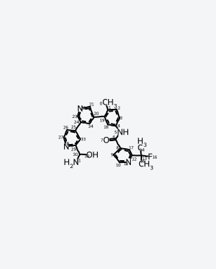 Cc1ccc(NC(=O)c2ccnc(C(C)(C)F)c2)cc1-c1cncc(-c2ccnc(C(N)O)c2)c1